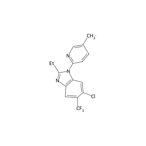 [CH2]c1ccc(-n2c(CC)nc3cc(C(F)(F)F)c(Cl)cc32)nc1